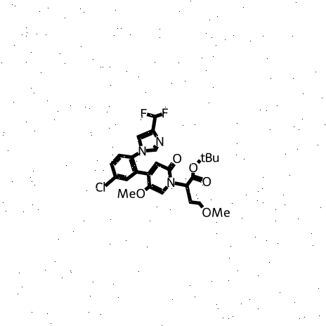 COCCC(C(=O)OC(C)(C)C)n1cc(OC)c(-c2cc(Cl)ccc2-n2cnc(C(F)F)c2)cc1=O